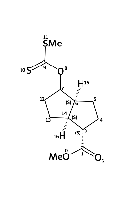 COC(=O)[C@H]1CC[C@@H]2C(OC(=S)SC)CC[C@H]12